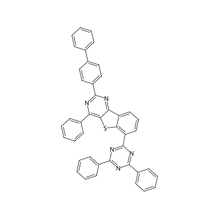 c1ccc(-c2ccc(-c3nc(-c4ccccc4)c4sc5c(-c6nc(-c7ccccc7)nc(-c7ccccc7)n6)cccc5c4n3)cc2)cc1